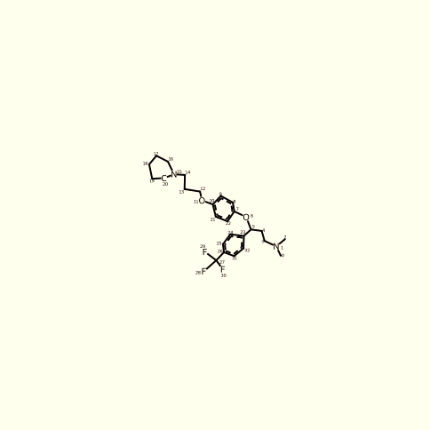 CN(C)CCC(Oc1ccc(OCCCN2CCCCC2)cc1)c1ccc(C(F)(F)F)cc1